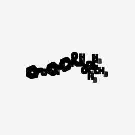 CC(C)(C)OC(=O)NCC(=O)N1CCN(c2ccc(OCc3ccccc3)cn2)CC1